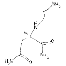 NCCN[C@@H](CC(N)=O)C(N)=O